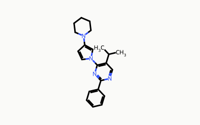 CC(C)c1cnc(-c2ccccc2)nc1-n1ccc(N2CCCCC2)c1